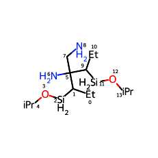 CCC([SiH2]OC(C)C)C(N)(CN)C(CC)[SiH2]OC(C)C